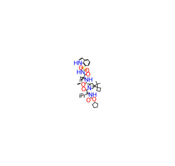 C=C[C@@H]1C[C@]1(NC(=O)[C@@H]1C[C@@]2(CN1C(=O)[C@@H](NC(=O)OC1CCCC1)C(C)C)C(C)(C)C21CCC1)C(=O)NS(=O)(=O)c1cccc2cc[nH]c12